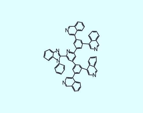 c1ccc(-n2c(-c3cc(-c4cc(-c5cncc6ccccc56)cc(-c5cncc6ccccc56)c4)cc(-c4cc(-c5cncc6ccccc56)cc(-c5cncc6ccccc56)c4)n3)nc3ccccc32)cc1